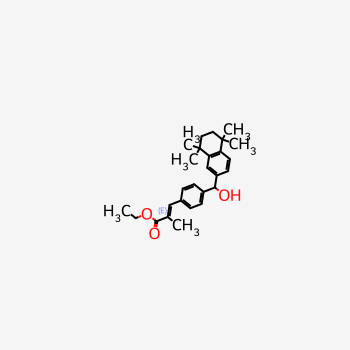 CCOC(=O)/C(C)=C/c1ccc(C(O)c2ccc3c(c2)C(C)(C)CCC3(C)C)cc1